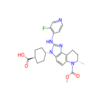 COC(=O)N1c2ccc3c(nc(Nc4ccncc4F)n3[C@H]3CC[C@H](C(=O)O)CC3)c2CC[C@@H]1C